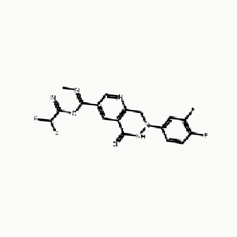 C/N=C(\OC(=N)C(F)F)c1cnc2c(c1)C(=O)NN(c1ccc(F)c(F)c1)C2